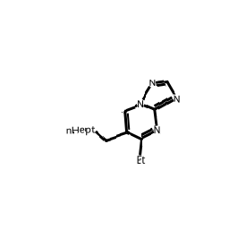 CCCCCCCCc1[c]n2ncnc2nc1CC